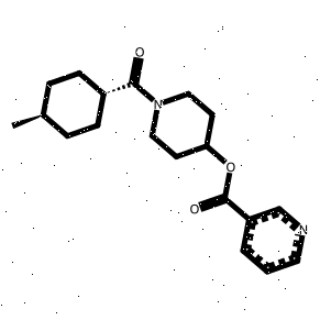 C[C@H]1CC[C@H](C(=O)N2CCC(OC(=O)c3cccnc3)CC2)CC1